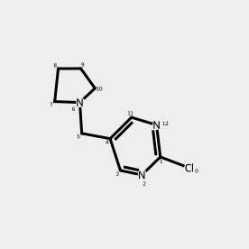 Clc1ncc(CN2CCCC2)cn1